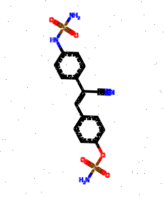 N#CC(=Cc1ccc(OS(N)(=O)=O)cc1)c1ccc(NS(N)(=O)=O)cc1